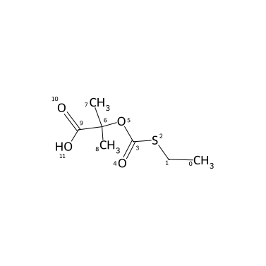 CCSC(=O)OC(C)(C)C(=O)O